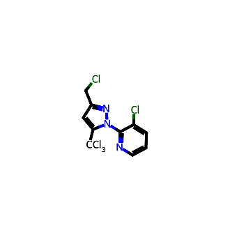 ClCc1cc(C(Cl)(Cl)Cl)n(-c2ncccc2Cl)n1